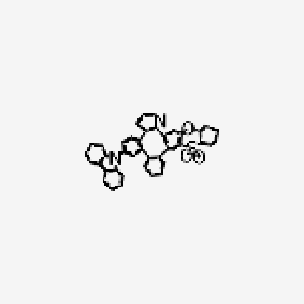 O=S1(=O)c2ccccc2Oc2cc3c(cc21)-c1ccccc1-c1cc(-n2c4ccccc4c4ccccc42)ccc1-c1cccnc1-3